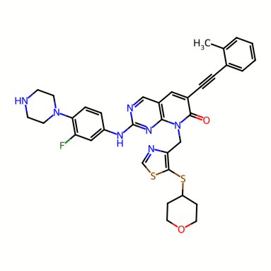 Cc1ccccc1C#Cc1cc2cnc(Nc3ccc(N4CCNCC4)c(F)c3)nc2n(Cc2ncsc2SC2CCOCC2)c1=O